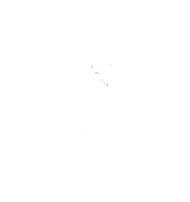 CC(=O)Oc1ccccc1C1SC[C@@H](C(=O)O)N1C(=O)CCCCCCCCCCCCC(=O)O